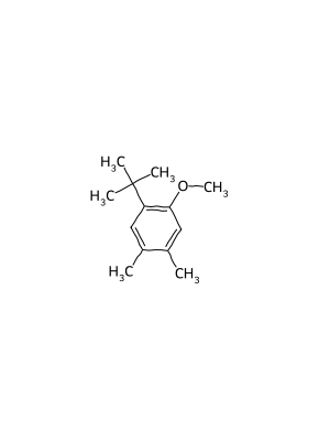 COc1cc(C)c(C)cc1C(C)(C)C